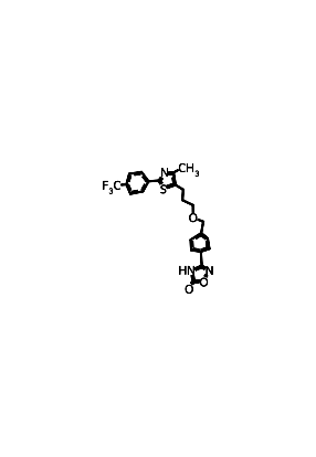 Cc1nc(-c2ccc(C(F)(F)F)cc2)sc1CCCOCc1ccc(-c2noc(=O)[nH]2)cc1